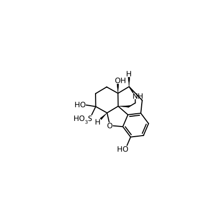 O=S(=O)(O)C1(O)CC[C@]2(O)[C@@H]3Cc4ccc(O)c5c4[C@]2(CCN3)[C@@H]1O5